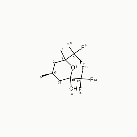 C[C@H]1CC(C)(C(F)(F)F)OC(O)(C(F)(F)F)C1